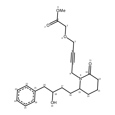 COC(=O)COCC#CCN1C(=O)CCCC1CCC(O)Cc1ccccc1